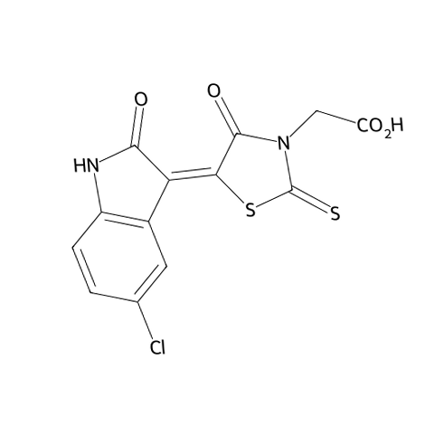 O=C(O)CN1C(=O)C(=C2C(=O)Nc3ccc(Cl)cc32)SC1=S